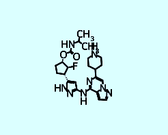 CC(C)NC(=O)O[C@H]1CC[C@@H](c2cc(Nc3nc(C4CCNCC4)cn4nccc34)n[nH]2)[C@@H]1F